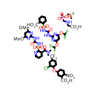 COc1cc(OC)nc(NC(=O)NS(=O)(=O)c2ncccc2C(=O)N(C)C)n1.C[S+](C)C.O=C(Nc1nc(OC(F)F)cc(OC(F)F)n1)NS(=O)(=O)c1ccccc1C(=O)O.O=C(O)CNCP(=O)([O-])O.O=C(O)c1cc(Oc2ccc(C(F)(F)F)cc2Cl)ccc1[N+](=O)[O-]